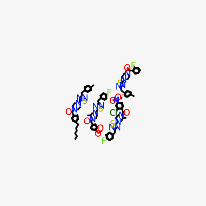 CC1CN(c2nc(Cc3ccc(F)cc3)ns2)CCN1C(=O)c1ccc([N+](=O)[O-])cc1Cl.CC1CN(c2nc(Cc3ccc(F)cc3)ns2)CCN1C(=O)c1ccc2c(c1)OCO2.CCCCCCc1ccc(C(=O)N2CCN(c3nc(Cc4ccc(C)cc4)ns3)CC2)cc1.Cc1ccc(Cc2nsc(N3CCN(C(=O)c4ccccc4F)CC3)n2)cc1